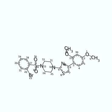 COc1ccc(-c2csc(N3CCN(S(=O)(=O)c4ccccc4Br)CC3)n2)c(OC)c1